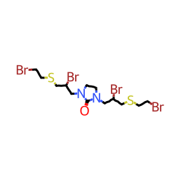 O=C1N(CC(Br)CSCCBr)CCN1CC(Br)CSCCBr